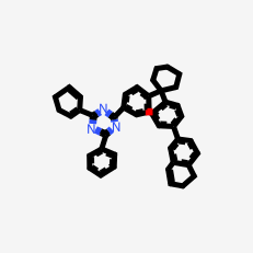 C1=CC(c2nc(-c3ccccc3)nc(-c3ccc(C4(c5ccc(-c6ccc7c(c6)C=CCC7)cc5)CCCCC4)cc3)n2)=CCC1